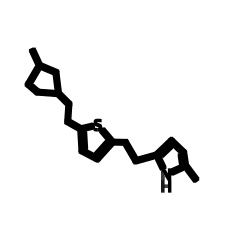 Cc1ccc(CCc2ccc(CCC3CCC(C)C3)s2)[nH]1